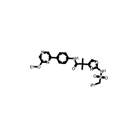 CCOc1cncc(-c2ccc(NC(=O)C(C)(C)c3csc(NS(=O)(=O)CC(C)C)n3)cc2)n1